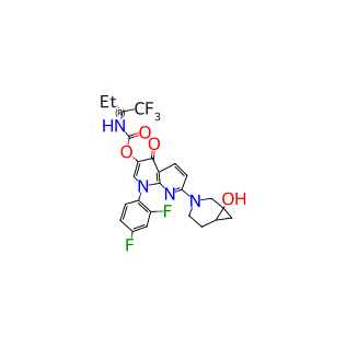 CC[C@@H](NC(=O)Oc1cn(-c2ccc(F)cc2F)c2nc(N3CCC4CC4(O)C3)ccc2c1=O)C(F)(F)F